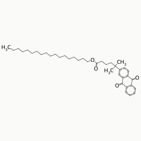 CCCCCCCCCCCCCCCCCCOC(=O)CCCC(C)(C)c1ccc2c(c1)C(=O)c1ccccc1C2=O